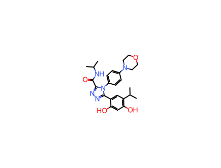 CC(C)NC(=O)c1nnc(-c2cc(C(C)C)c(O)cc2O)n1-c1ccc(N2CCOCC2)cc1